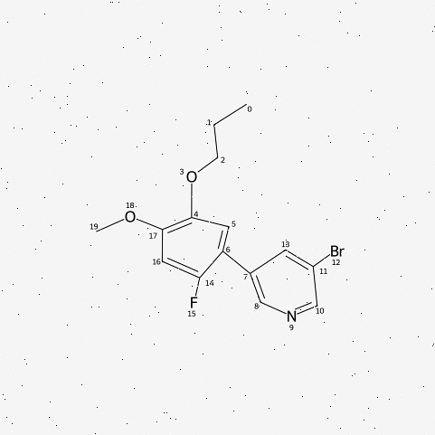 CCCOc1cc(-c2cncc(Br)c2)c(F)cc1OC